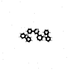 C1=CCC(c2cncc(-c3cccc(-n4c5c(c6ccccc64)CCC=C5)c3)c2)=CC(n2c3ccccc3c3ccccc32)=C1